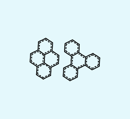 c1cc2ccc3cccc4ccc(c1)c2c34.c1ccc2c(c1)c1ccccc1c1ccccc21